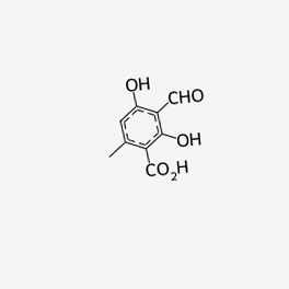 Cc1cc(O)c(C=O)c(O)c1C(=O)O